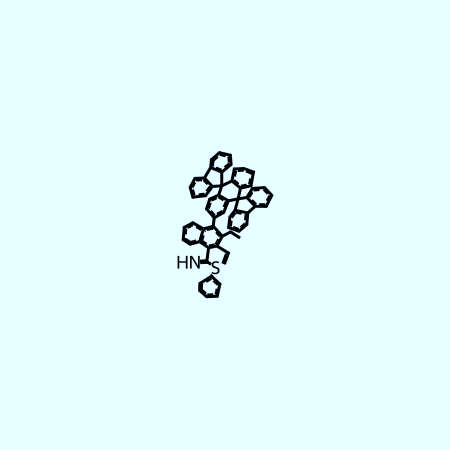 C=Cc1c(CC)c(-c2ccc3c(c2)C2(c4ccccc4-c4ccccc42)c2ccccc2C32c3ccccc3-c3ccccc32)c2ccccc2c1C(=N)Sc1ccccc1